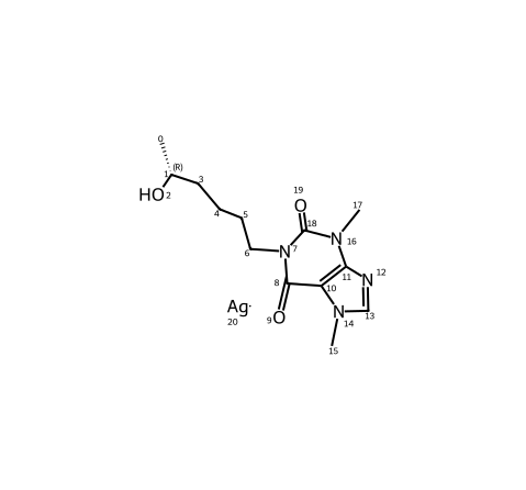 C[C@@H](O)CCCCn1c(=O)c2c(ncn2C)n(C)c1=O.[Ag]